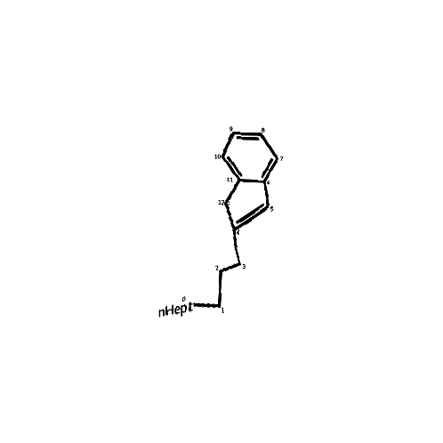 CCCCCCCCCCC1=Cc2ccccc2[C]1